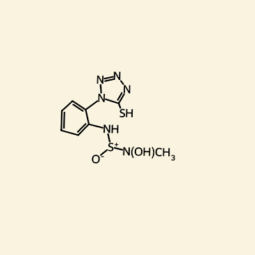 CN(O)[S+]([O-])Nc1ccccc1-n1nnnc1S